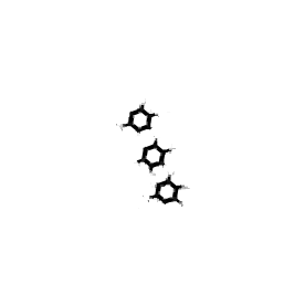 Nc1cc(F)c(C(F)(F)F)c(Oc2cc(F)c(C(F)(F)F)c(Oc3cc(N)cc(F)c3C(F)(F)F)c2F)c1